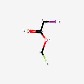 O=C(CI)OCF